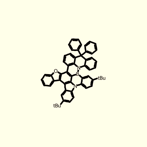 CC(C)(C)c1ccc2c(c1)B1c3c(c4oc5ccccc5c4c4c5cc(C(C)(C)C)ccc5n-2c34)-c2cccc3c2N1c1ccccc1C3(c1ccccc1)c1ccccc1